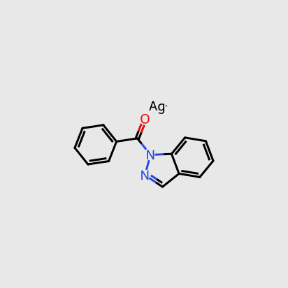 O=C(c1ccccc1)n1ncc2ccccc21.[Ag]